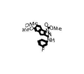 COC(=O)n1nc(Nc2cccc(F)c2)c2c1-c1cc(OC)c(OC)cc1C2